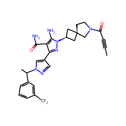 CC#CC(=O)N1CC[C@]2(C1)C[C@H](n1nc(-c3cnn(C(C)c4cccc(C(F)(F)F)c4)c3)c(C(N)=O)c1N)C2